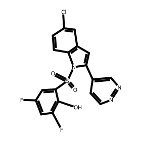 O=S(=O)(c1cc(F)cc(F)c1O)n1c(-c2ccnnc2)cc2cc(Cl)ccc21